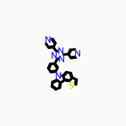 c1cc(-c2nc(-c3ccncc3)nc(-c3ccncc3)n2)cc(-n2c3ccccc3c3c4sccc4ccc32)c1